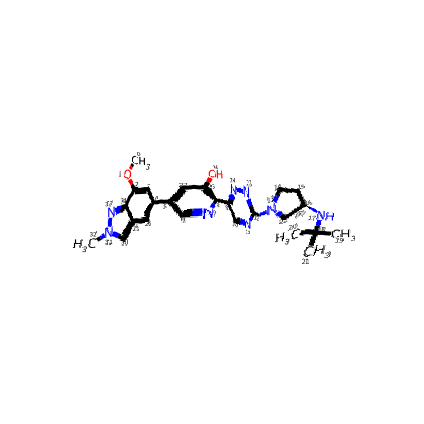 COc1cc(-c2cnc(-c3cnc(N4CC[C@@H](NC(C)(C)C)C4)nn3)c(O)c2)cc2cn(C)nc12